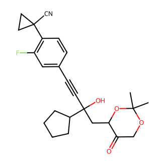 CC1(C)OCC(=O)C(CC(O)(C#Cc2ccc(C3(C#N)CC3)c(F)c2)C2CCCC2)O1